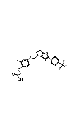 Cc1cc(SCC2CCc3sc(-c4ccc(C(F)(F)F)cc4)nc32)ccc1OCC(=O)O